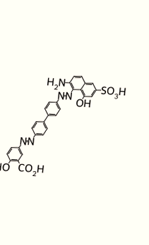 Nc1ccc2cc(S(=O)(=O)O)cc(O)c2c1N=Nc1ccc(-c2ccc(N=Nc3ccc(O)c(C(=O)O)c3)cc2)cc1